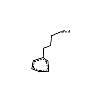 [CH]CCCCCCCc1ccccc1